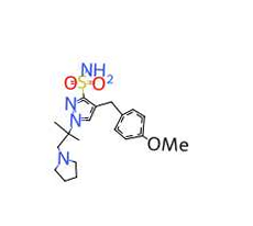 COc1ccc(Cc2cn(C(C)(C)CN3CCCC3)nc2S(N)(=O)=O)cc1